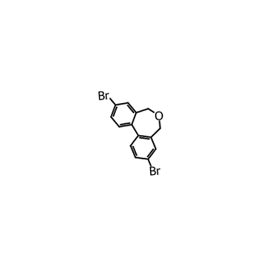 Brc1ccc2c(c1)COCc1cc(Br)ccc1-2